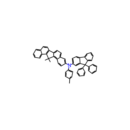 Cc1ccc(N(c2ccc3c(c2)C(c2ccccc2)(c2ccccc2)c2ccccc2-3)c2ccc3c4c(ccc3c2)-c2ccc3ccccc3c2C4(C)C)cc1